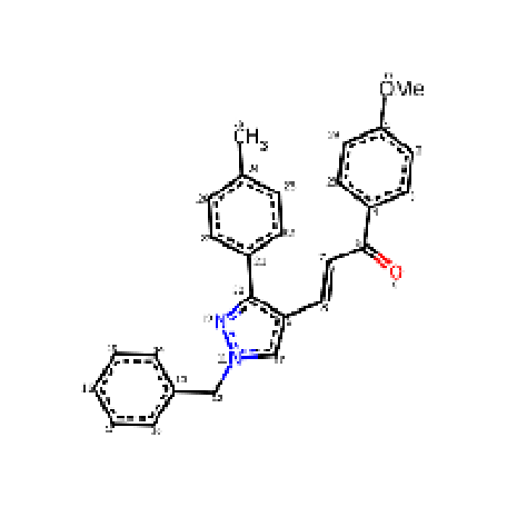 COc1ccc(C(=O)/C=C/c2cn(Cc3ccccc3)nc2-c2ccc(C)cc2)cc1